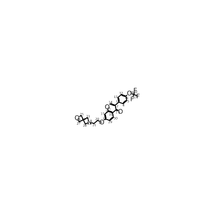 O=c1c(-c2ccc(OC(F)(F)F)cc2)coc2cc(OCCN3CC4(COC4)C3)ccc12